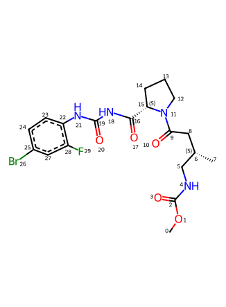 COC(=O)NC[C@@H](C)CC(=O)N1CCC[C@H]1C(=O)NC(=O)Nc1ccc(Br)cc1F